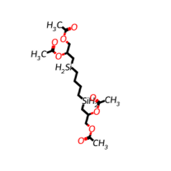 CC(=O)OCC(C[SiH2]CCCC[SiH2]CC(COC(C)=O)OC(C)=O)OC(C)=O